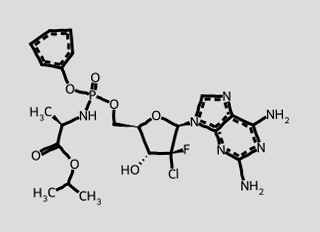 CC(C)OC(=O)[C@@H](C)NP(=O)(OC[C@H]1O[C@@H](n2cnc3c(N)nc(N)nc32)[C@](F)(Cl)[C@@H]1O)Oc1ccccc1